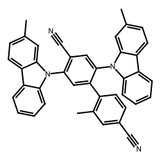 Cc1ccc2c3ccccc3n(-c3cc(-c4ccc(C#N)cc4C)c(-n4c5ccccc5c5ccc(C)cc54)cc3C#N)c2c1